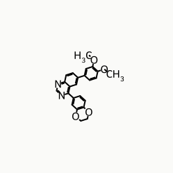 COc1ccc(-c2ccc3ncnc(-c4ccc5c(c4)OCCO5)c3c2)cc1OC